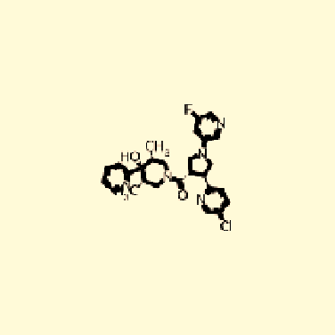 C[C@@H]1CN(C(=O)[C@@H]2CN(c3cncc(F)c3)C[C@H]2c2ccc(Cl)cn2)C[C@H](C)C1(O)c1ccccn1